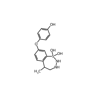 CC1CNNS(O)(O)c2cc(Oc3ccc(O)cc3)ccc21